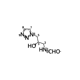 O=[C]NCC(O)Cn1ccnn1